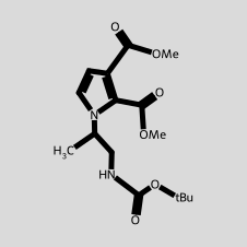 COC(=O)c1ccn(C(C)CNC(=O)OC(C)(C)C)c1C(=O)OC